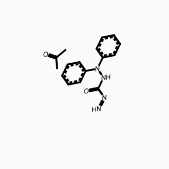 CC(C)=O.N=NC(=O)NN(c1ccccc1)c1ccccc1